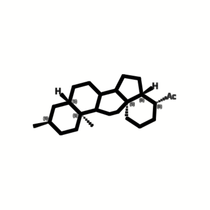 CC(=O)[C@@H]1CCC[C@]23CCC4C(CC[C@H]5C[C@H](C)CC[C@]45C)C2CC[C@H]13